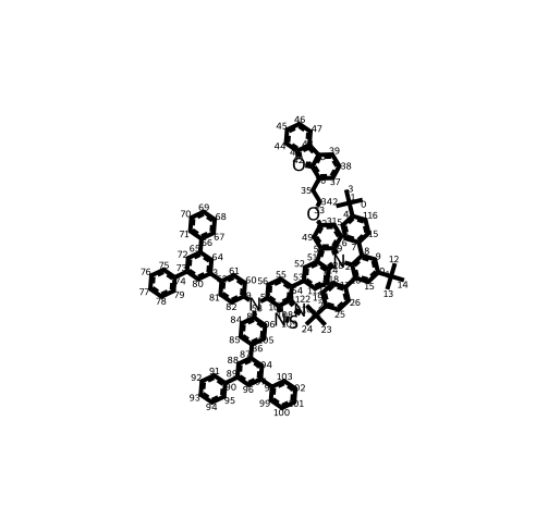 CC(C)(C)c1ccc(-c2cc(C(C)(C)C)cc(-c3ccc(C(C)(C)C)cc3)c2-n2c3ccc(OCCc4cccc5c4oc4ccccc45)cc3c3cc(-c4ccc(N(c5ccc(-c6cc(-c7ccccc7)cc(-c7ccccc7)c6)cc5)c5ccc(-c6cc(-c7ccccc7)cc(-c7ccccc7)c6)cc5)c5nsnc45)ccc32)cc1